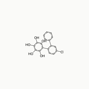 Oc1c(O)c(O)c(-c2ccc(Cl)cc2-c2ccccc2)c(O)c1O